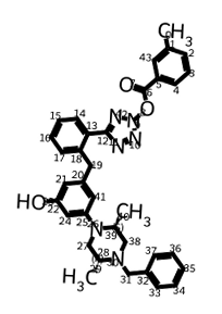 Cc1cccc(C(=O)On2nnc(-c3ccccc3Cc3cc(O)cc(N4C[C@@H](C)N(Cc5ccccc5)C[C@@H]4C)c3)n2)c1